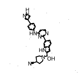 N#CC1CCN(C(O)c2cc3ccc(-c4nccc(Nc5ccc(-c6cn[nH]c6)cc5)n4)cc3[nH]2)CC1